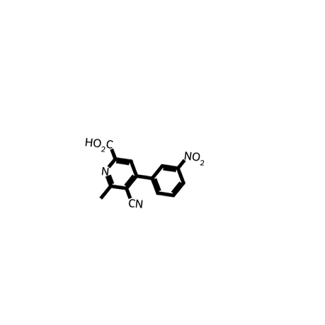 Cc1nc(C(=O)O)cc(-c2cccc([N+](=O)[O-])c2)c1C#N